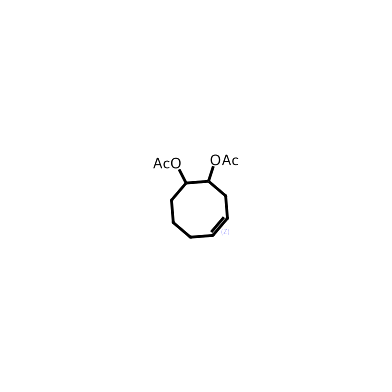 CC(=O)OC1C/C=C\CCCC1OC(C)=O